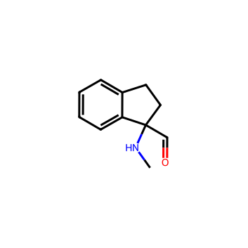 CNC1(C=O)CCc2ccccc21